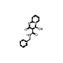 O=C(NCc1ccccc1)c1c(O)n2ccccc2nc1=O